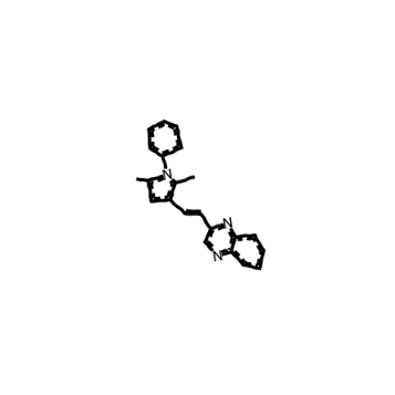 Cc1cc(/C=C/c2cnc3ccccc3n2)c(C)n1-c1ccccc1